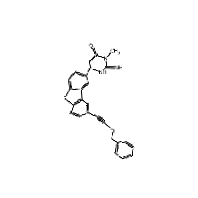 CN1C(=N)NC(c2ccc3sc4ccc(C#COCc5ccccc5)cc4c3c2)CC1=O